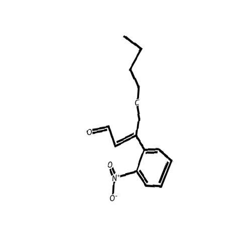 CCCCCCC(=CC=O)c1ccccc1[N+](=O)[O-]